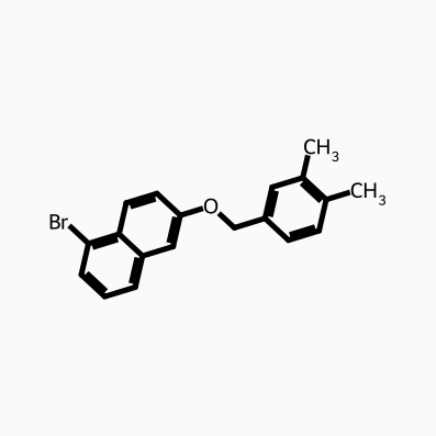 Cc1ccc(COc2ccc3c(Br)cccc3c2)cc1C